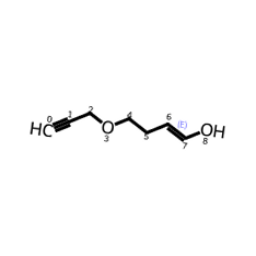 C#CCOCC/C=C/O